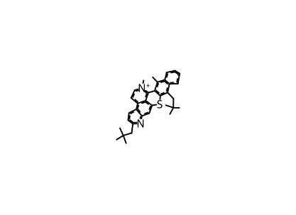 Cc1c2c(c(CC(C)(C)C)c3ccccc13)Sc1cc3nc(CC(C)(C)C)ccc3c3cc[n+](C)c-2c13